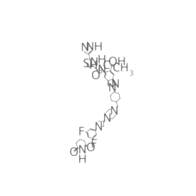 CC(C)(O)c1cc2nn(C3CCC(CN4CCN(C5CN(c6cc(F)c([C@H]7CCC(=O)NC7=O)c(F)c6)C5)CC4)CC3)cc2cc1NC(=O)c1csc(-c2cn[nH]c2)n1